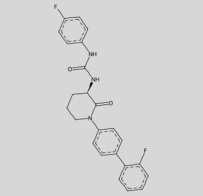 O=C(Nc1ccc(F)cc1)N[C@@H]1CCCN(c2ccc(-c3ccccc3F)cc2)C1=O